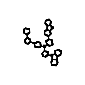 c1ccc(-c2cccc(-c3ccc(N(c4cccc(-c5ccc6c(c5)oc5ccccc56)c4)c4cccc(-n5c6ccccc6c6ccccc65)c4)cc3)c2)cc1